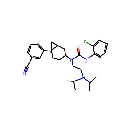 CC(C)N(CCN(C(=O)Nc1ccccc1F)C1CC[C@]2(c3cccc(C#N)c3)CC2C1)C(C)C